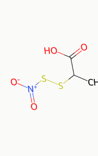 CC(SS[N+](=O)[O-])C(=O)O